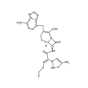 NC1=CN(/C(=N\OCF)C(=O)N[C@@H]2C(=O)N3C(C(=O)[O-])=C(Cn4ccc(N)[n+]5nccc4-5)CS[C@H]23)NS1